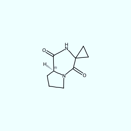 O=C1NC2(CC2)C(=O)N2CCC[C@@H]12